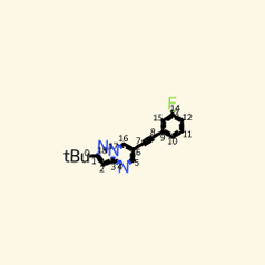 CC(C)(C)c1cc2ncc(C#Cc3cccc(F)c3)cn2n1